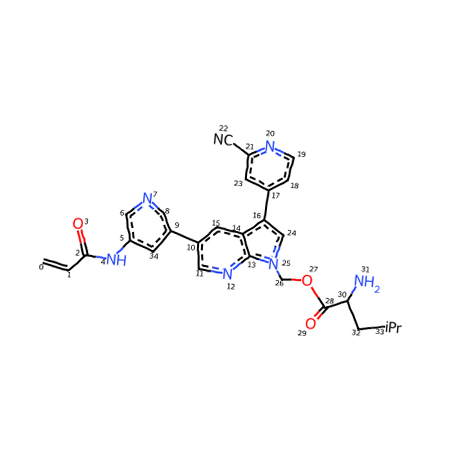 C=CC(=O)Nc1cncc(-c2cnc3c(c2)c(-c2ccnc(C#N)c2)cn3COC(=O)C(N)CC(C)C)c1